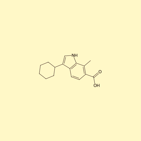 Cc1c(C(=O)O)ccc2c(C3CCCCC3)c[nH]c12